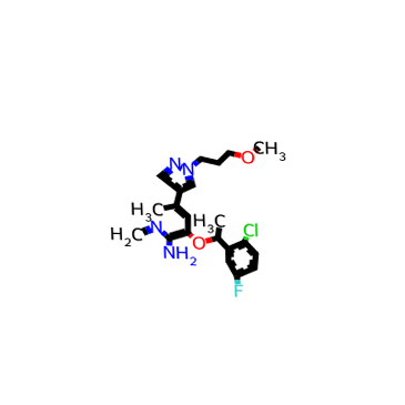 C=N/C(N)=C(\C=C(/C)c1cnn(CCCOC)c1)OC(C)c1cc(F)ccc1Cl